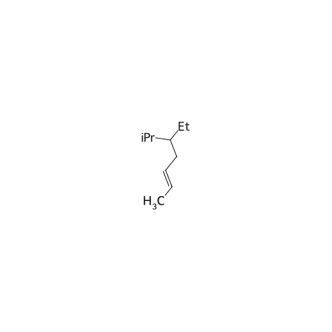 CC=CCC(CC)C(C)C